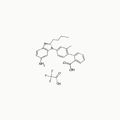 CCCCc1nc2ccc(N)cc2n1-c1ccc(-c2ccccc2C(=O)O)c(C)c1.O=C(O)C(F)(F)F